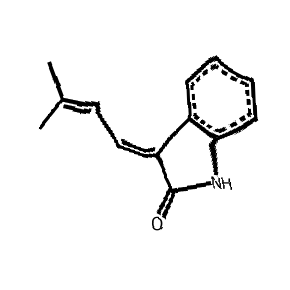 CC(C)=C/C=C1/C(=O)Nc2ccccc21